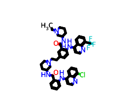 CCN1CCCC(NC(=O)c2cc(CCN3CCCC(NC(=O)c4ccccc4Nc4ccnc5c(Cl)cccc45)C3)ccc2Nc2ccnc3c(C(F)(F)F)cccc23)C1